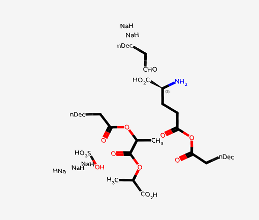 CCCCCCCCCCCC(=O)OC(=O)CC[C@H](N)C(=O)O.CCCCCCCCCCCC(=O)OC(C)C(=O)OC(C)C(=O)O.CCCCCCCCCCCC=O.O=S(=O)(O)O.[NaH].[NaH].[NaH].[NaH].[NaH]